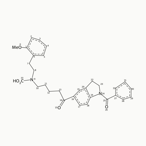 COc1ccccc1CCN(CCCCC(=O)c1ccc2c(c1)CCN2C(=O)c1ccccc1)C(=O)O